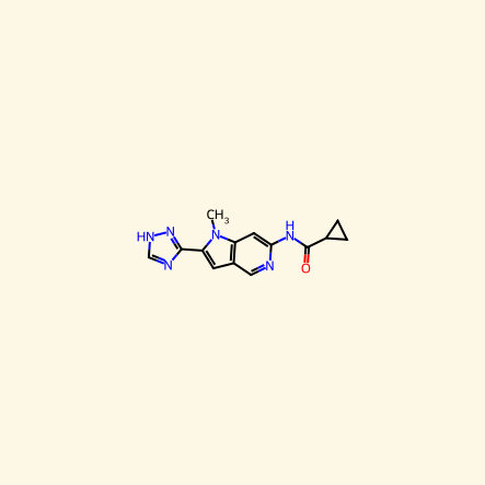 Cn1c(-c2nc[nH]n2)cc2cnc(NC(=O)C3CC3)cc21